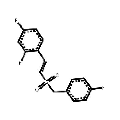 O=S(=O)(/C=C/c1ccc(F)cc1F)Cc1ccc(F)cc1